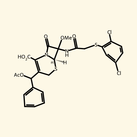 COC1(NC(=O)CSc2cc(Cl)ccc2Cl)C(=O)N2C(C(=O)O)=C(C(OC(C)=O)c3ccccc3)CS[C@@H]21